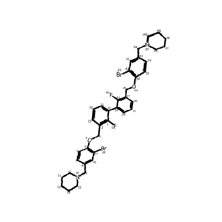 Fc1c(COc2ccc(CN3CCCCC3)cc2Br)cccc1-c1cccc(COc2ccc(CN3CCCCC3)cc2Br)c1F